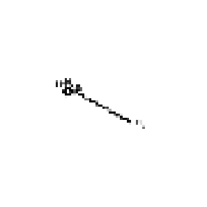 CCCCCCCCCCCCCCCCCCN(Br)c1cccc2[nH]nnc12